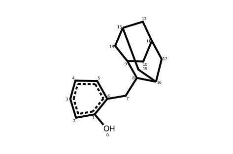 Oc1ccccc1CC1C2CC3CC(C2)CC1C3